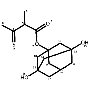 CC(=S)C(C)C(=O)OC12CC3CC(O)(CC(O)(C3)C1)C2